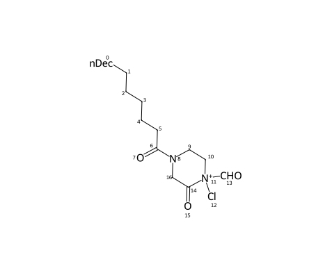 CCCCCCCCCCCCCCCC(=O)N1CC[N+](Cl)(C=O)C(=O)C1